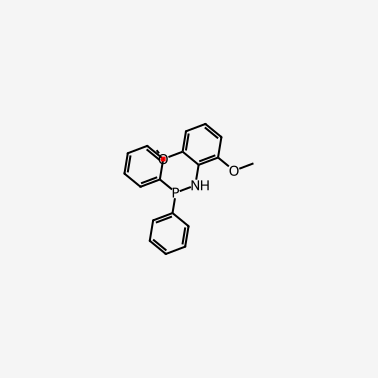 COc1cccc(OC)c1NP(c1ccccc1)c1ccccc1